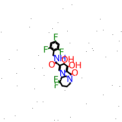 O=C(NCc1c(F)cc(F)cc1F)C1=CN2C(=C(O)C1O)C(=O)N1CCCC(F)(F)C2C1